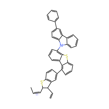 C=CC1c2cc(-c3cccc4sc5c(-n6c7ccccc7c7cc(-c8ccccc8)ccc76)cccc5c34)ccc2SC1/C=C\C